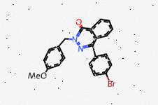 COc1ccc(Cn2nc(-c3ccc(Br)cc3)c3ccccc3c2=O)cc1